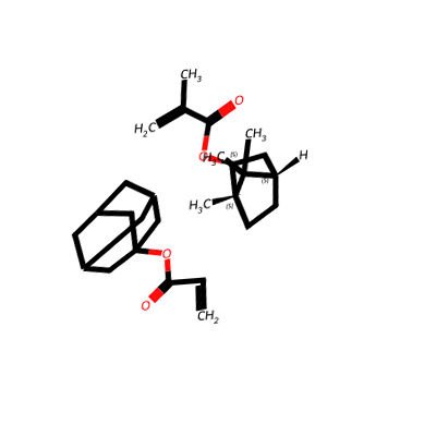 C=C(C)C(=O)O[C@H]1C[C@@H]2CC[C@@]1(C)C2(C)C.C=CC(=O)OC12CC3CC(CC(C3)C1)C2